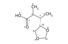 CC(C(=O)O)C(C)[C@H]1COCO1